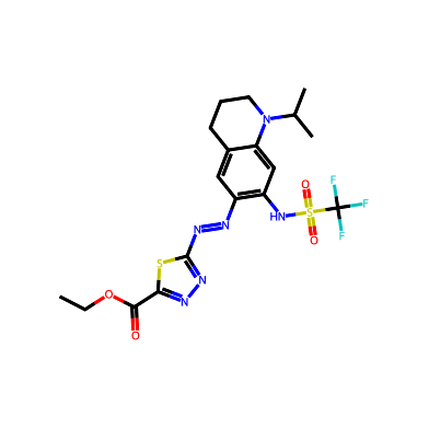 CCOC(=O)c1nnc(N=Nc2cc3c(cc2NS(=O)(=O)C(F)(F)F)N(C(C)C)CCC3)s1